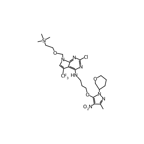 Cc1nn(C2CCCOC2)c(OCCCNc2nc(Cl)nc3c2c(C(F)(F)F)cn3COCC[Si](C)(C)C)c1[N+](=O)[O-]